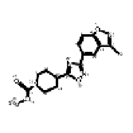 Cc1noc2ccc(-c3noc(C4CCN(C(=O)OC(C)(C)C)CC4)n3)cc12